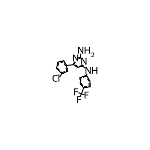 Nc1nc(Nc2ccc(C(F)(F)F)cc2)cc(-c2cccc(Cl)c2)n1